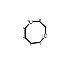 [CH]1COCCCCO1